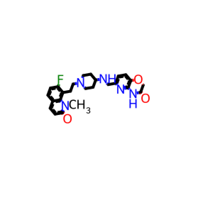 Cn1c(=O)ccc2ccc(F)c(CCN3CCC(NCc4ccc5c(n4)NC(=O)CO5)CC3)c21